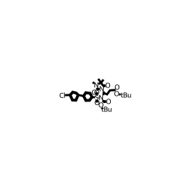 CN1C(=O)N(C(CCC(=O)OC(C)(C)C)N(C(=O)OC(C)(C)C)S(=O)(=O)c2ccc(-c3ccc(Cl)cc3)cc2)C(=O)C1(C)C